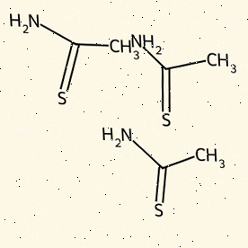 CC(N)=S.CC(N)=S.CC(N)=S